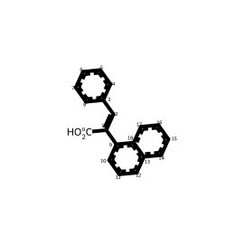 O=C(O)C(=Cc1ccccc1)c1cccc2ccccc12